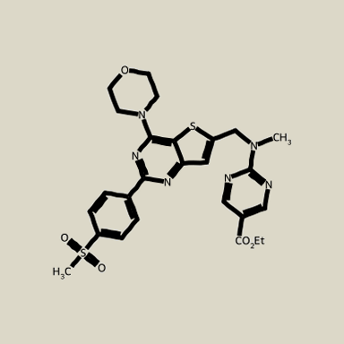 CCOC(=O)c1cnc(N(C)Cc2cc3nc(-c4ccc(S(C)(=O)=O)cc4)nc(N4CCOCC4)c3s2)nc1